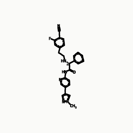 Cn1cc(-c2ccc(NC(=O)[C@H](NCCc3ccc(C#N)c(F)c3)c3ccccc3)nc2)cn1